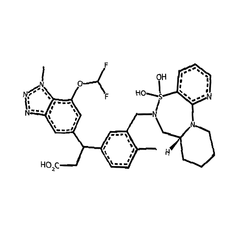 Cc1ccc(C(CC(=O)O)c2cc(OC(F)F)c3c(c2)nnn3C)cc1CN1C[C@H]2CCCCN2c2ncccc2S1(O)O